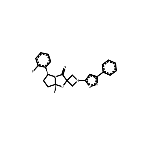 O=C1N2[C@@H](CC[C@H]2c2ccccc2F)OC12CN(c1cc(-c3ccccc3)no1)C2